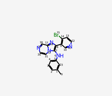 Cc1cccc(Nc2c(-c3cnccc3Br)nc3cnccn23)c1